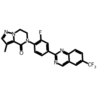 Cc1cnn2c1C(=O)N(c1ccc(-c3ncc4cc(C(F)(F)F)ccc4n3)cc1F)CC2